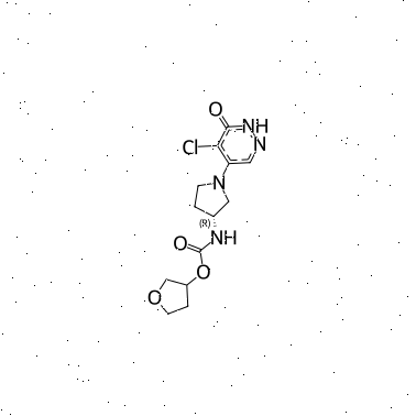 O=C(N[C@@H]1CCN(c2cn[nH]c(=O)c2Cl)C1)OC1CCOC1